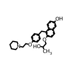 CC(O)COc1ccc2cc(O)ccc2c1Cc1ccc(OCCN2CCCCC2)cc1